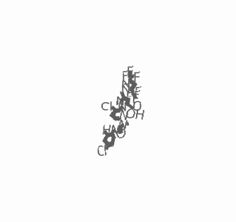 Cc1cc(Cl)ccc1NC(=O)N(C)c1ccc(Cl)c(-n2nc(Cn3nc(C(F)(F)F)cc3C(F)(F)F)cc2C(=O)O)n1